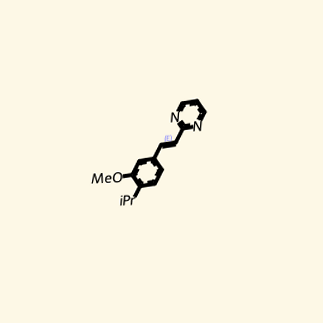 COc1cc(/C=C/c2ncccn2)ccc1C(C)C